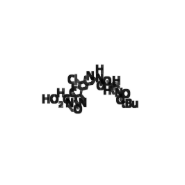 Cc1c(-c2cc3cc(NC(=O)OC4[C@H]5CN(C(=O)OC(C)(C)C)C[C@@H]45)ncc3c(Cl)c2F)cnc2c1N(C(=O)O)CCO2